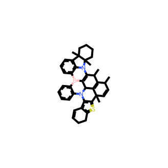 CC1C=CC2(C)C3=C1C(C)C1=C4B(c5ccccc5N(c5c2sc2c5C=CCC2)C43)c2cccc3c2N1C1(C)CCCCC31C